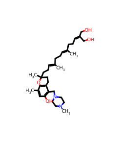 C/C(=C\CC/C(C)=C/CCC1(C)CCc2c(CN3CCN(C)CC3)c(O)cc(C)c2O1)CCC=C(CO)CO